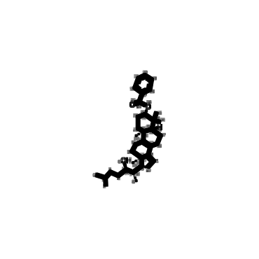 CC(C)CC[C@@H](O)[C@@H](C)[C@H]1CC=C2C3=C(CC[C@@]21C)[C@@]1(C)CC[C@H](OC(=O)c2ccccc2)C(C)(C)[C@@H]1CC3